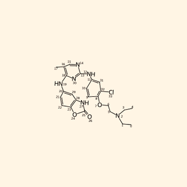 CCN(CC)CCOc1ccc(Nc2ncc(C)c(Nc3ccc4oc(=O)[nH]c4c3)n2)cc1Cl